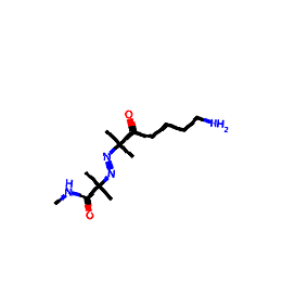 CNC(=O)C(C)(C)N=NC(C)(C)C(=O)CCCCN